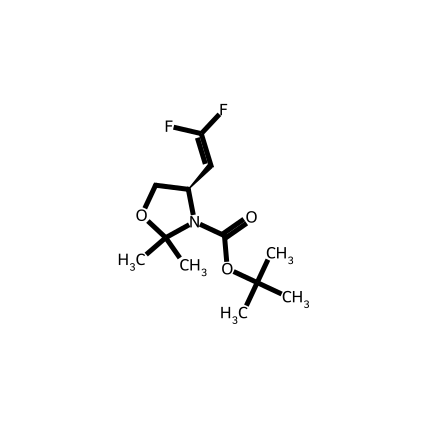 CC(C)(C)OC(=O)N1[C@H](C=C(F)F)COC1(C)C